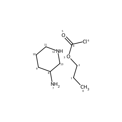 CCCOC(=O)Cl.NC1CCCNC1